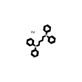 [Pd].c1ccc(P(CCCCP(c2ccccc2)c2ccccc2)c2ccccc2)cc1